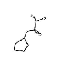 CCC(CC)C(=O)OC1CCCC1